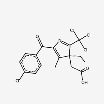 CCC1(CC(=O)O)C(C(Cl)(Cl)Cl)=NC(C(=O)c2ccc(Cl)cc2)=C1C